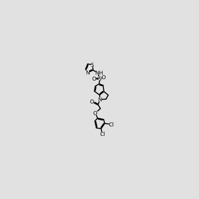 O=C(COc1ccc(Cl)c(Cl)c1)N1CCc2cc(S(=O)(=O)Nc3nccs3)ccc21